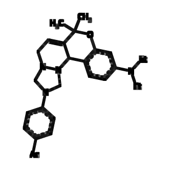 CCN(CC)c1ccc2c(c1)OC(C)(C)C1=CCN3CN(c4ccc(C(C)=O)cc4)CN3C12